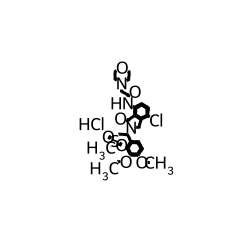 CCOc1cc(C(CS(C)(=O)=O)N2Cc3c(Cl)ccc(NC(=O)CN4CCOCC4)c3C2=O)ccc1OC.Cl